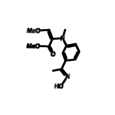 COC=C(C(=O)OC)N(C)c1cccc(C(C)=NO)c1